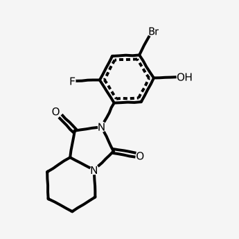 O=C1C2CCCCN2C(=O)N1c1cc(O)c(Br)cc1F